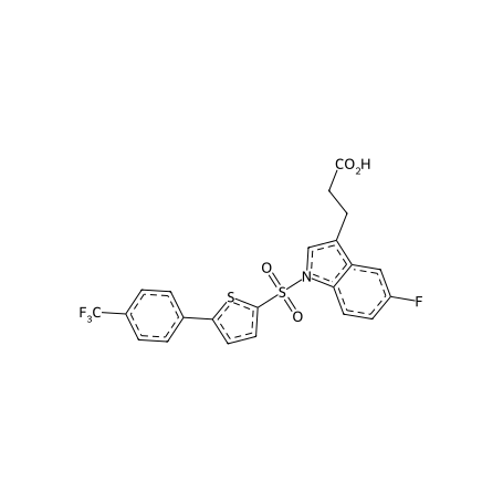 O=C(O)CCc1cn(S(=O)(=O)c2ccc(-c3ccc(C(F)(F)F)cc3)s2)c2ccc(F)cc12